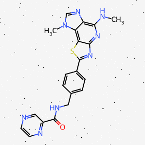 CNc1nc2nc(-c3ccc(CNC(=O)c4cnccn4)cc3)sc2c2c1ncn2C